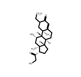 C[C@]12C[C@H](O)[C@H]3[C@@H](CCC4=CC(=O)C(CC(=O)O)C[C@@]43C)[C@@H]1CC[C@@H]2C(=O)CO